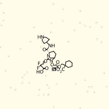 CCOC(=O)C1(COS(=O)(=O)ON2C(=O)N3CC2CC[C@H]3C(=O)NC2CCNCC2)CCCCC1.O=C(O)C(F)(F)F